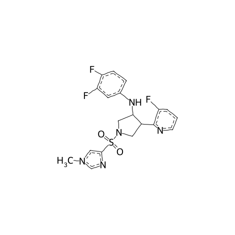 Cn1cnc(S(=O)(=O)N2CC(Nc3ccc(F)c(F)c3)C(c3ncccc3F)C2)c1